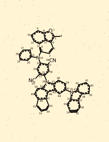 C=C(/C=C\c1c(C)oc2ccccc12)N(c1ccccc1)c1cc(C#N)c(-n2c3ccc(-n4c5cc#ccc5c5ccccc54)cc3c3c4c(ccc32)C=C=C=C4)cc1C#N